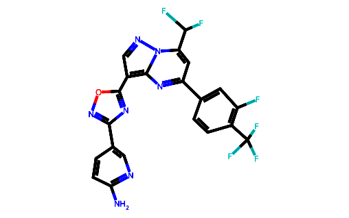 Nc1ccc(-c2noc(-c3cnn4c(C(F)F)cc(-c5ccc(C(F)(F)F)c(F)c5)nc34)n2)cn1